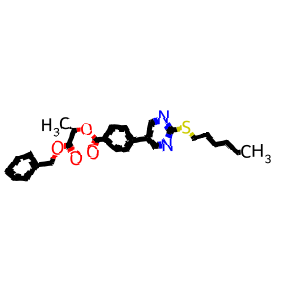 CCCCCCSc1ncc(-c2ccc(C(=O)O[C@@H](C)C(=O)OCc3ccccc3)cc2)cn1